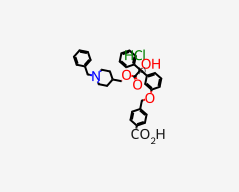 Cl.O=C(O)c1ccc(COc2cccc([C@](O)(C(=O)OCC3CCN(Cc4ccccc4)CC3)c3ccccc3)c2)cc1